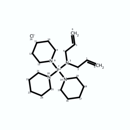 C=CCN(CC=C)[P+](N1CCCCC1)(N1CCCCC1)N1CCCCC1.[Cl-]